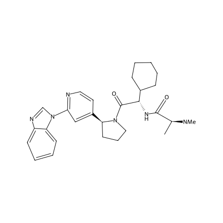 CN[C@@H](C)C(=O)N[C@H](C(=O)N1CCC[C@H]1c1ccnc(-n2cnc3ccccc32)c1)C1CCCCC1